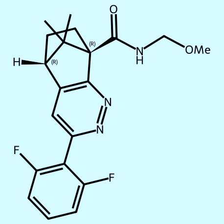 COCNC(=O)[C@@]12CC[C@@H](c3cc(-c4c(F)cccc4F)nnc31)C2(C)C